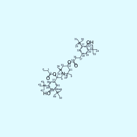 CCC(=O)OC(CN1C(C)(C)[CH]C(OC(=O)CCc2cc(C(C)(C)C)c(O)c(C(C)(C)C)c2)CC1(C)C)c1cc(C(C)(C)C)c(O)c(C(C)(C)C)c1